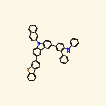 c1ccc(Nc2ccc(-c3ccc4c(c3)c3cc(-c5ccc6c(c5)sc5ccccc56)ccc3n4-c3ccc4ccccc4c3)cc2-c2ccccc2)cc1